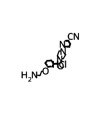 Cl.N#Cc1ccc(N2CCN(C(=O)c3cccc(OCCN)c3)CC2)nc1